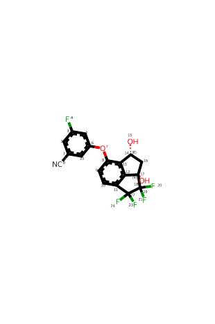 N#Cc1cc(F)cc(Oc2ccc3c4c2[C@H](O)C[C@]4(O)C(F)(F)C3(F)F)c1